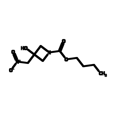 CCCCOC(=O)N1CC(O)(C[N+](=O)[O-])C1